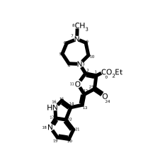 CCOC(=O)C1=C(N2CCCN(C)CC2)OC(=Cc2c[nH]c3ncccc23)C1=O